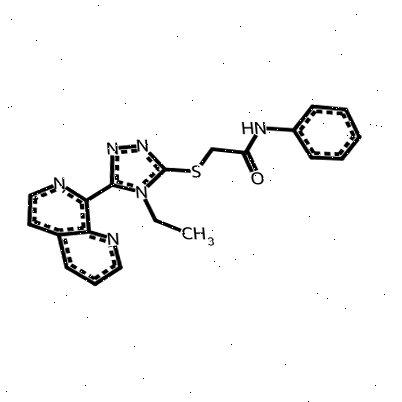 CCn1c(SCC(=O)Nc2ccccc2)nnc1-c1nccc2cccnc12